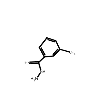 N=C(NN)c1cccc(C(F)(F)F)c1